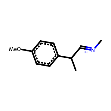 C/N=C/C(C)c1ccc(OC)cc1